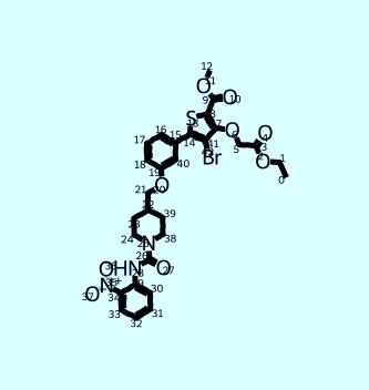 CCOC(=O)COc1c(C(=O)OC)sc(-c2cccc(OCC3CCN(C(=O)Nc4ccccc4[N+](=O)[O-])CC3)c2)c1Br